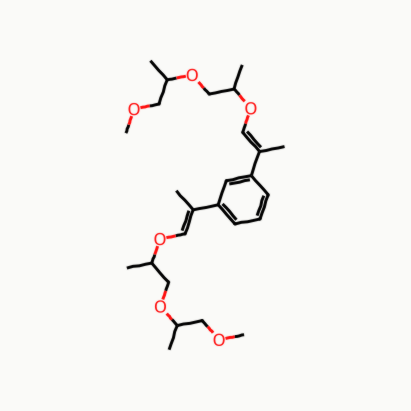 COCC(C)OCC(C)OC=C(C)c1cccc(C(C)=COC(C)COC(C)COC)c1